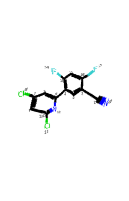 N#Cc1cc(-c2cc(Cl)cc(Cl)n2)c(F)cc1F